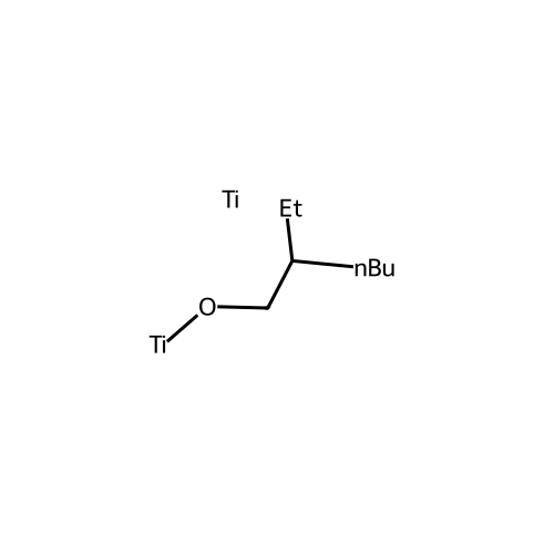 CCCCC(CC)C[O][Ti].[Ti]